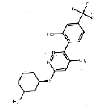 Cc1cc(S[C@@H]2CCCN(C)C2)nnc1-c1ccc(C(F)(F)F)cc1O